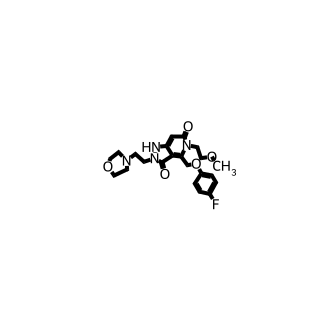 COCCn1c(COc2ccc(F)cc2)c2c(=O)n(CCN3CCOCC3)[nH]c2cc1=O